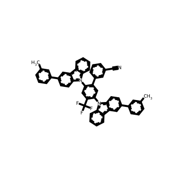 Cc1cccc(-c2ccc3c(c2)c2ccccc2n3-c2cc(C(F)(F)F)c(-n3c4ccccc4c4cc(-c5cccc(C)c5)ccc43)cc2-c2cccc(C#N)c2)c1